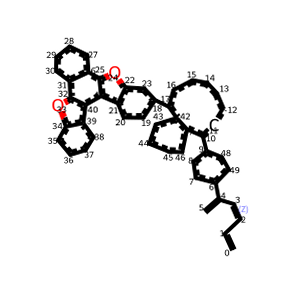 C=C/C=C\C(=C)c1ccc(-c2ccccccc(-c3ccc4c(c3)oc3c5ccccc5c5oc6ccccc6c5c43)c3ccccc23)cc1